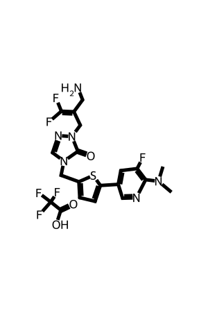 CN(C)c1ncc(-c2ccc(Cn3cnn(CC(CN)=C(F)F)c3=O)s2)cc1F.O=C(O)C(F)(F)F